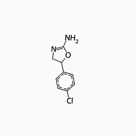 NC1=NCC(c2ccc(Cl)cc2)O1